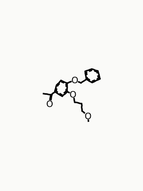 COCCCOc1cc(C(C)=O)ccc1OCc1ccccc1